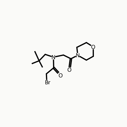 CC(C)(C)CN(CC(=O)N1CCOCC1)C(=O)CBr